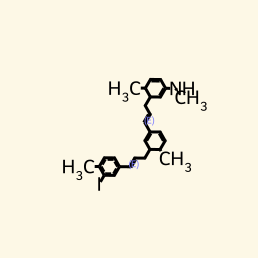 CNC1=CC(C/C=C/C2=CC(C/C=C/c3ccc(C)c(I)c3)C(C)C=C2)C(C)C=C1